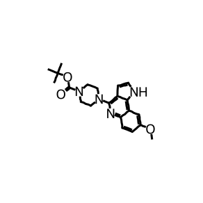 COc1ccc2nc(N3CCN(C(=O)OC(C)(C)C)CC3)c3cc[nH]c3c2c1